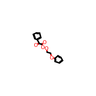 O=C(OOCCOc1ccccc1)C(=O)c1ccccc1